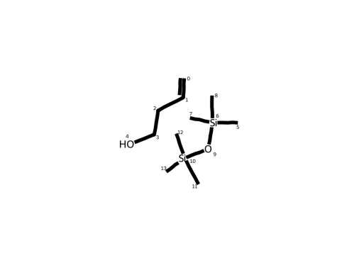 C=CCCO.C[Si](C)(C)O[Si](C)(C)C